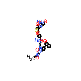 C=CC(=O)N1CC(N2Cc3ccc(-c4cc(O)cc5ccccc45)cc3N(CCCCNCc3ccc(OCc4scc5c4CN([C@H]4CCC(=O)NC4=O)C5=O)cc3)C2=O)C1